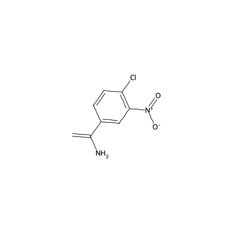 C=C(N)c1ccc(Cl)c([N+](=O)[O-])c1